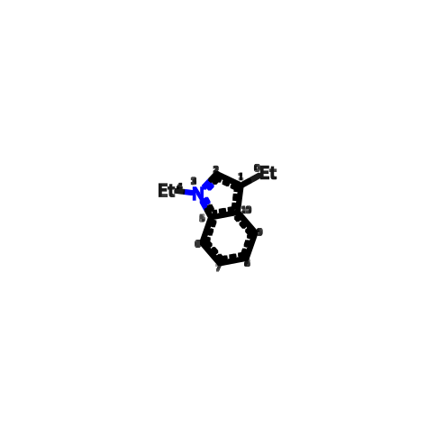 [CH2]Cc1cn(CC)c2ccccc12